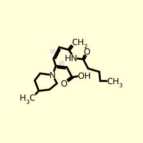 C=C(/C=C\C(=C\C(=O)O)N1CCC(C)CC1)NC(=O)CCCC